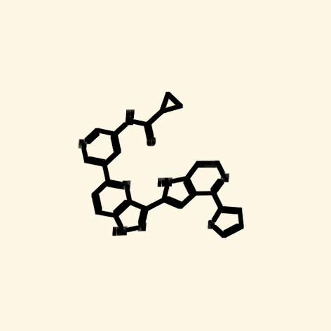 O=C(Nc1cncc(-c2ccc3[nH]nc(-c4cc5c(-c6cccs6)nccc5[nH]4)c3n2)c1)C1CC1